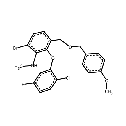 CNc1c(Br)ccc(COCc2ccc(OC)cc2)c1Oc1cc(F)ccc1Cl